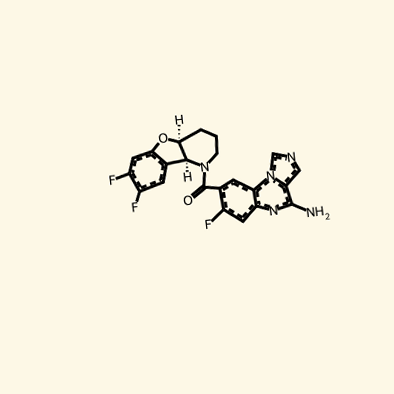 Nc1nc2cc(F)c(C(=O)N3CCC[C@@H]4Oc5cc(F)c(F)cc5[C@@H]43)cc2n2cncc12